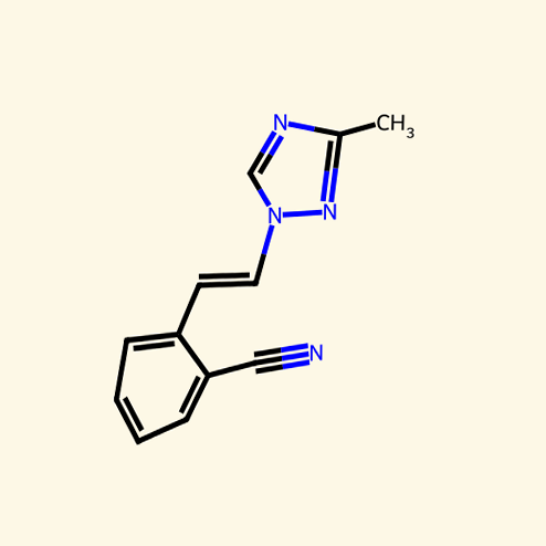 Cc1ncn(C=Cc2ccccc2C#N)n1